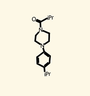 CC(C)C(=O)N1CCN(c2ccc(C(C)C)cc2)CC1